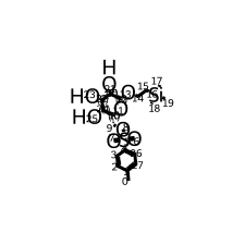 Cc1ccc(S(=O)(=O)OC[C@H]2O[C@@H](OCC[Si](C)(C)C)[C@H](O)[C@@H](O)[C@@H]2O)cc1